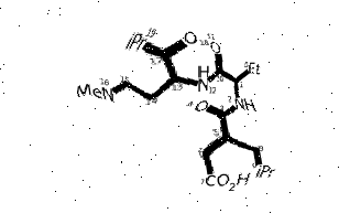 CCC(NC(=O)C(CC(=O)O)CC(C)C)C(=O)NC(CCNC)C(=O)C(C)C